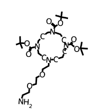 CC(C)(C)OC(=O)N1CCCN(C(=O)OC(C)(C)C)CCN(C(=O)OC(C)(C)C)CCCN(CCOCCOCCN)CC1